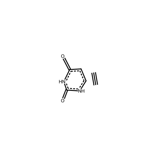 C#C.O=c1cc[nH]c(=O)[nH]1